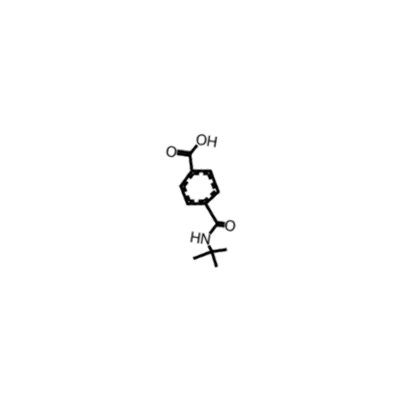 CC(C)(C)NC(=O)c1ccc(C(=O)O)cc1